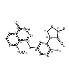 COc1cccc2c(=O)[nH]nc(Cc3ccc(F)c(N4CCN(C)C4=O)c3)c12